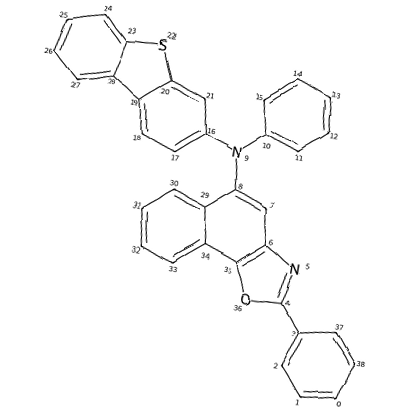 c1ccc(-c2nc3cc(N(c4ccccc4)c4ccc5c(c4)sc4ccccc45)c4ccccc4c3o2)cc1